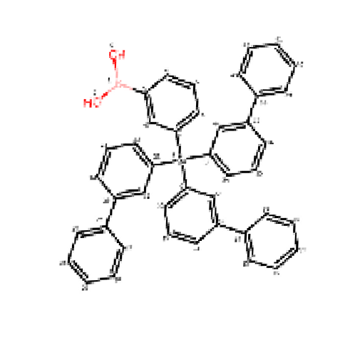 OB(O)c1cccc([Si](c2cccc(-c3ccccc3)c2)(c2cccc(-c3ccccc3)c2)c2cccc(-c3ccccc3)c2)c1